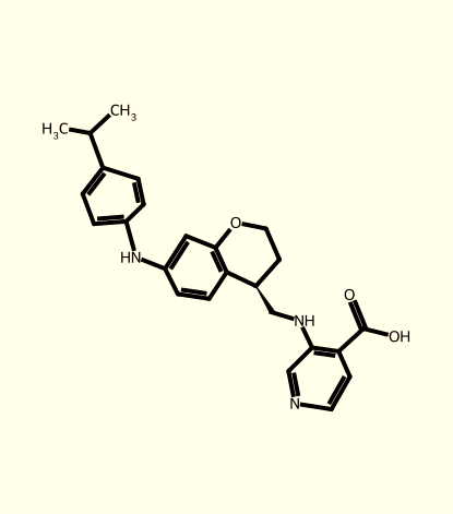 CC(C)c1ccc(Nc2ccc3c(c2)OCC[C@H]3CNc2cnccc2C(=O)O)cc1